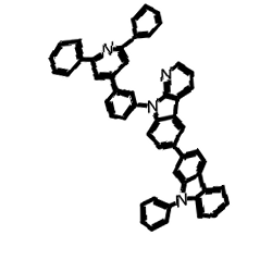 c1ccc(-c2cc(-c3cccc(-n4c5ccc(-c6ccc7c8ccccc8n(-c8ccccc8)c7c6)cc5c5cccnc54)c3)cc(-c3ccccc3)n2)cc1